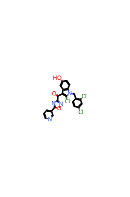 O=C(c1noc(-c2cccnc2)n1)c1c(Cl)n(Cc2ccc(Cl)cc2Cl)c2ccc(O)cc12